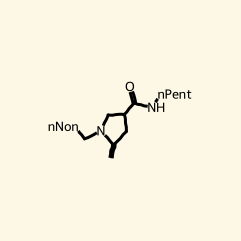 C=C1CC(C(=O)NCCCCC)CN1CCCCCCCCCC